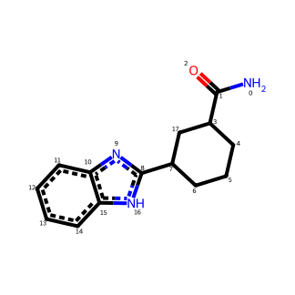 NC(=O)C1CCCC(c2nc3ccccc3[nH]2)C1